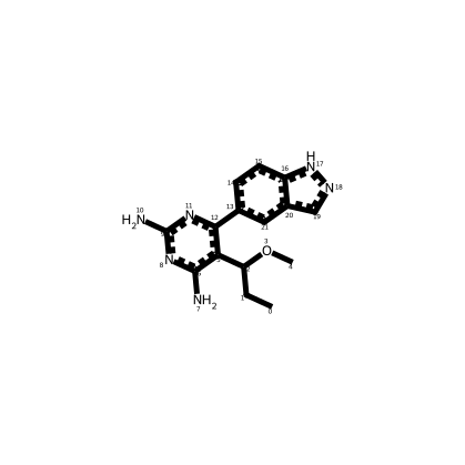 CCC(OC)c1c(N)nc(N)nc1-c1ccc2[nH]ncc2c1